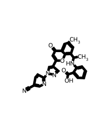 Cc1cc(C(C)Nc2ccccc2C(=O)O)c2oc(-c3cnn(-c4ccc(C#N)cn4)c3)cc(=O)c2c1